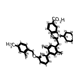 Cc1ccc(COc2cccc(-c3cc(F)c(Cc4nc5ccc(C(=O)O)cc5n4C4CCOCC4)cc3F)n2)c(F)c1